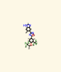 Cc1cc2[nH]cnc2cc1-c1noc(-c2ccc(OC(C)C(F)(F)F)c(C(F)(F)F)c2)n1